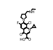 CCNCC1CCN(c2c(F)cc3c(=O)c(C(=O)O)cn(C4CC4)c3c2Cl)C1